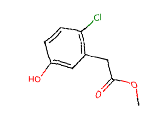 COC(=O)Cc1cc(O)ccc1Cl